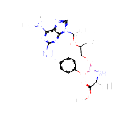 CCC(COP(N[C@@H](C)C(=O)OC(C)C)Oc1ccccc1)O[C@H](C)n1cnc2c(N(C)C)nc(N)nc21